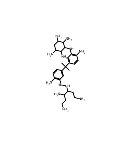 CC(C)(c1ccc(N)c(NNC(CCN)C(N)CCN)c1)c1ccc(N)c(NC2C(N)C(N)CC(N)C2N)c1